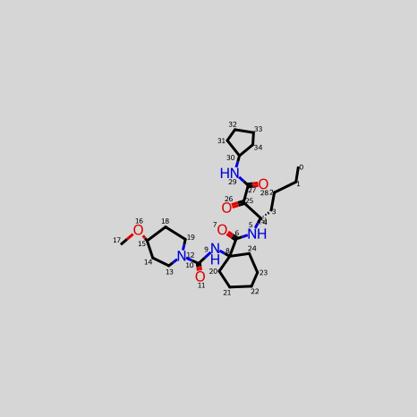 CCCC[C@H](NC(=O)C1(NC(=O)N2CCC(OC)CC2)CCCCC1)C(=O)C(=O)NC1CCCC1